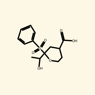 CC(O)C1(S(=O)(=O)c2ccccc2)CC(C(=O)O)CCO1